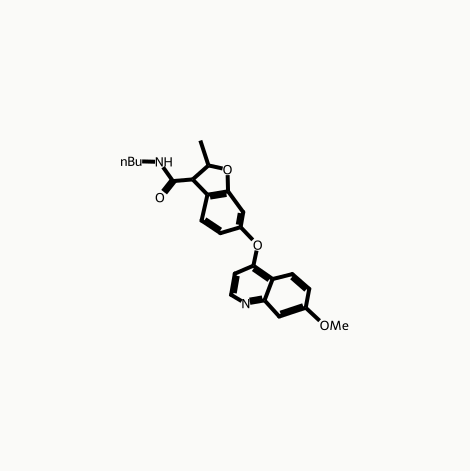 CCCCNC(=O)C1c2ccc(Oc3ccnc4cc(OC)ccc34)cc2OC1C